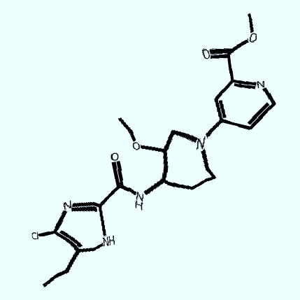 CCc1[nH]c(C(=O)NC2CCN(c3ccnc(C(=O)OC)c3)CC2OC)nc1Cl